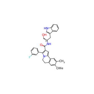 COc1cc2c(cc1C)-c1cc(C(=O)N[C@@H](CO)Cc3c[nH]c4ccccc34)c(-c3cccc(F)c3)n1CC2